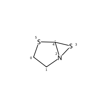 C1CN2S[C]2S1